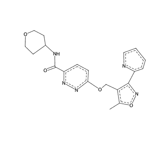 Cc1onc(-c2ccccn2)c1COc1ccc(C(=O)NC2CCOCC2)nn1